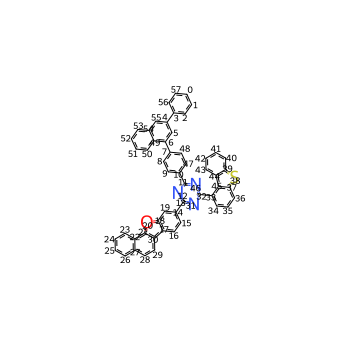 c1ccc(-c2cc(-c3ccc(-c4nc(-c5ccc6c(c5)oc5c7ccccc7ccc65)nc(-c5cccc6sc7ccccc7c56)n4)cc3)c3ccccc3c2)cc1